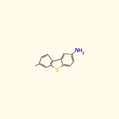 Cc1ccc2c(c1)sc1ccc(N)cc12